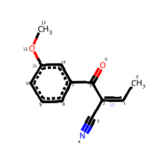 C/C=C(/C#N)C(=O)c1cccc(OC)c1